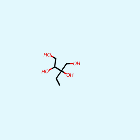 CCC(O)(CO)C(O)CO